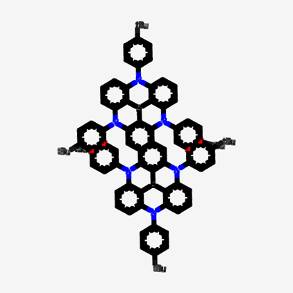 CC(C)(C)c1ccc(N2c3cccc4c3B3c5c2cccc5N(c2ccc(C(C)(C)C)cc2)c2c3c(cc3c5c6c(cc23)N(c2ccc(C(C)(C)C)cc2)c2cccc3c2B6c2c(cccc2N5c2ccc(C(C)(C)C)cc2)N3c2ccc(C(C)(C)C)cc2)N4c2ccc(C(C)(C)C)cc2)cc1